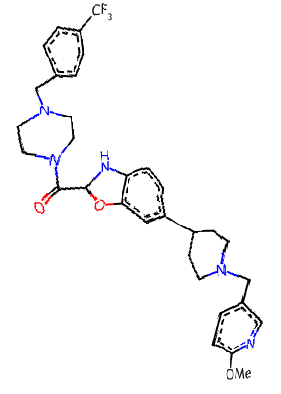 COc1ccc(CN2CCC(c3ccc4c(c3)OC(C(=O)N3CCN(Cc5ccc(C(F)(F)F)cc5)CC3)N4)CC2)cn1